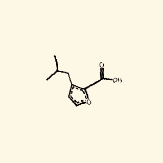 CC(C)Cc1ccoc1C(=O)O